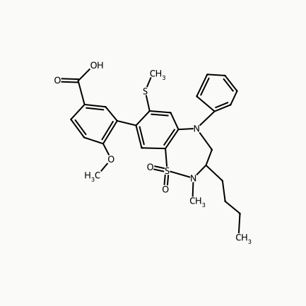 CCCCC1CN(c2ccccc2)c2cc(SC)c(-c3cc(C(=O)O)ccc3OC)cc2S(=O)(=O)N1C